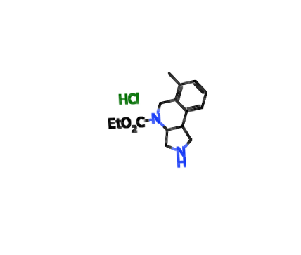 CCOC(=O)N1Cc2c(C)cccc2C2CNCC21.Cl